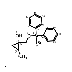 C[C@H]1C[C@@]1(O)CO[Si](c1ccccc1)(c1ccccc1)C(C)(C)C